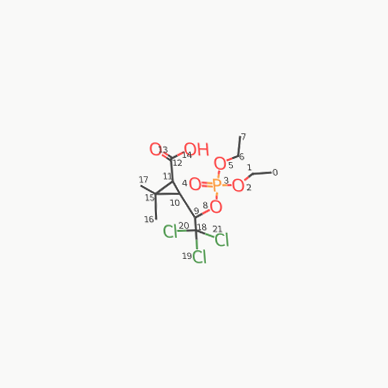 CCOP(=O)(OCC)OC(C1C(C(=O)O)C1(C)C)C(Cl)(Cl)Cl